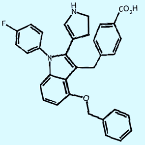 O=C(O)c1ccc(Cc2c(C3=CNCC3)n(-c3ccc(F)cc3)c3cccc(OCc4ccccc4)c23)cc1